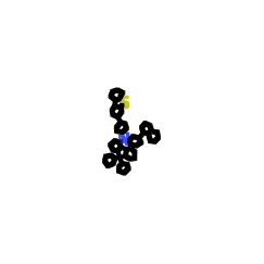 c1ccc(C2(c3ccccc3)c3ccccc3-c3c(N(c4ccc(-c5ccc6c(c5)sc5ccccc56)cc4)c4cccc(-c5cccc6ccccc56)c4)cccc32)cc1